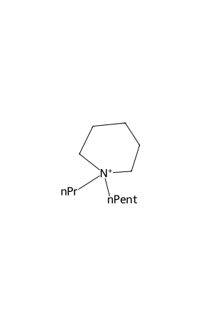 CCCCC[N+]1(CCC)CCCCC1